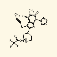 CC#CCn1c(N2CCNCC2)nc2c1c(=O)n(C)c(=O)n2-c1ccsc1.O=C(O)C(F)(F)F